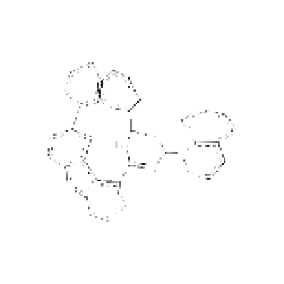 c1ccc(-c2ccc3oc4cccc(C5=NC(c6cccc7ccccc67)=NC(c6ccccc6)N5)c4c3c2)cc1